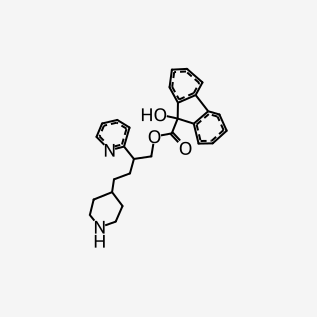 O=C(OCC(CCC1CCNCC1)c1ccccn1)C1(O)c2ccccc2-c2ccccc21